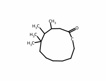 CC1CC(=O)CCCCCCCC(C)(C)C1C